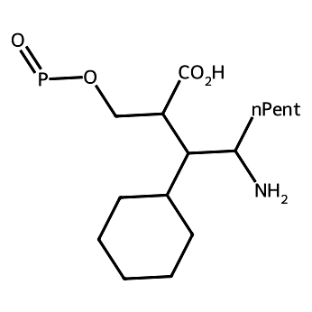 CCCCCC(N)C(C1CCCCC1)C(COP=O)C(=O)O